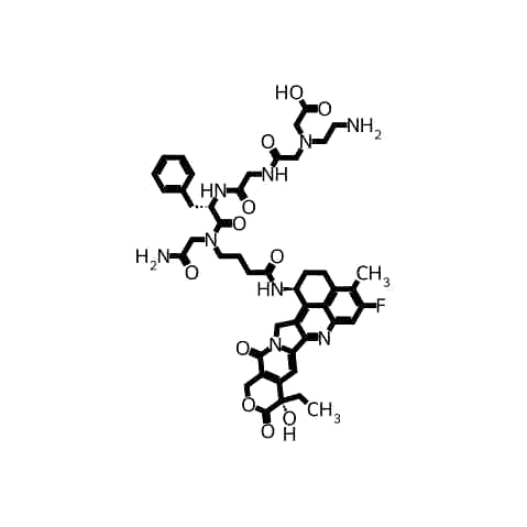 CC[C@@]1(O)C(=O)OCc2c1cc1n(c2=O)Cc2c-1nc1cc(F)c(C)c3c1c2[C@@H](NC(=O)CCCN(CC(N)=O)C(=O)[C@H](Cc1ccccc1)NC(=O)CNC(=O)CN(CCN)CC(=O)O)CC3